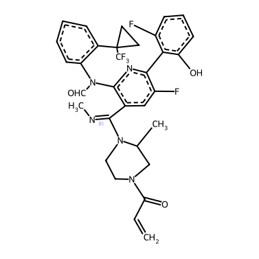 C=CC(=O)N1CCN(/C(=N/C)c2cc(F)c(-c3c(O)cccc3F)nc2N(C=O)c2ccccc2C2(C(F)(F)F)CC2)C(C)C1